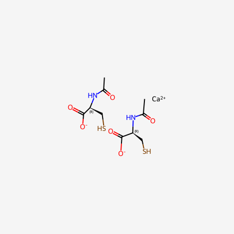 CC(=O)N[C@@H](CS)C(=O)[O-].CC(=O)N[C@@H](CS)C(=O)[O-].[Ca+2]